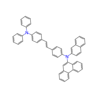 C(=C\c1ccc(N(c2ccc3ccccc3c2)c2cc3ccccc3c3ccccc23)cc1)/c1ccc(N(c2ccccc2)c2ccccc2)cc1